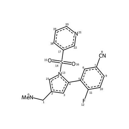 CNCc1cc(-c2cc(C#N)ccc2F)n(S(=O)(=O)c2cccnc2)c1